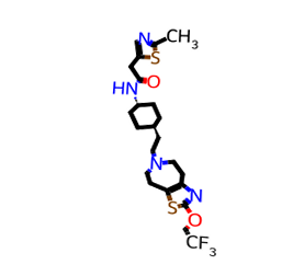 Cc1ncc(CC(=O)N[C@H]2CC[C@H](CCN3CCc4nc(OCC(F)(F)F)sc4CC3)CC2)s1